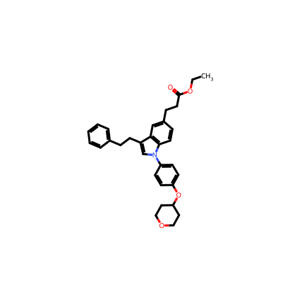 CCOC(=O)CCc1ccc2c(c1)c(CCc1ccccc1)cn2-c1ccc(OC2CCOCC2)cc1